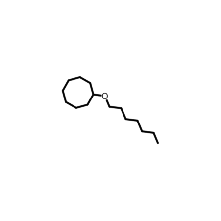 CCCCCCCOC1CCCCCCC1